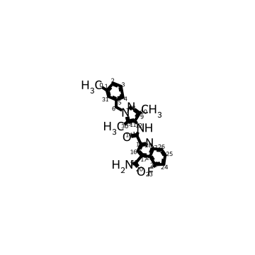 Cc1cccc(Cn2nc(C)c(NC(=O)c3cc(C(N)=O)c4c(F)cccc4n3)c2C)c1